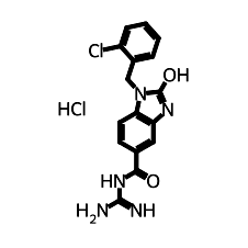 Cl.N=C(N)NC(=O)c1ccc2c(c1)nc(O)n2Cc1ccccc1Cl